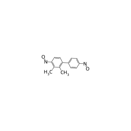 Cc1c(N=O)ccc(-c2ccc(N=O)cc2)c1C